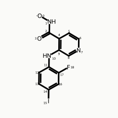 [O]NC(=O)c1ccncc1Nc1ccc(I)cc1F